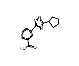 O=C(O)c1cccc(-c2noc(C3CCCC3)n2)c1